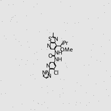 COC(c1c(NC(=O)Nc2cnc(-n3nccn3)c(Cl)c2)cnc2sc(C)nc12)C(C)C